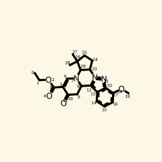 CCOC(=O)C1=CN2C(CC1=O)c1c3cccc(OC)c3nn1C1CCC(C)(C)C12